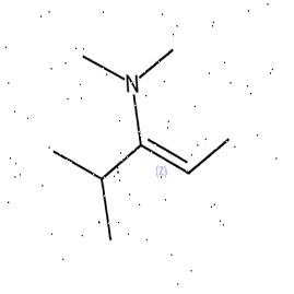 C/C=C(/C(C)C)N(C)C